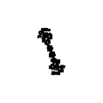 COC(=O)NC(C(=O)N1CCOC[C@H]1c1nc(-c2ccc(-c3ccc(-c4c[nH]c([C@@H]5CCCCN5C(=O)[C@@H](NC(=O)OC)C(C)C)n4)cc3)cc2)c[nH]1)C(C)C